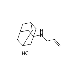 C=CCNC12CC3CC(CC(C3)C1)C2.Cl